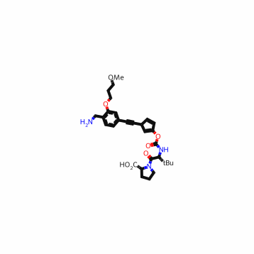 COCCCOc1cc(C#CC2C=CC(OC(=O)NC(C(=O)N3CCCC3C(=O)O)C(C)(C)C)=C2)ccc1CN